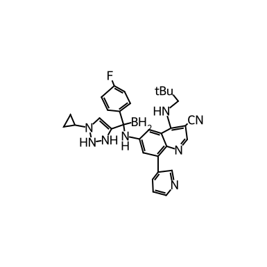 BC(Nc1cc(-c2cccnc2)c2ncc(C#N)c(NCC(C)(C)C)c2c1)(C1=CN(C2CC2)NN1)c1ccc(F)cc1